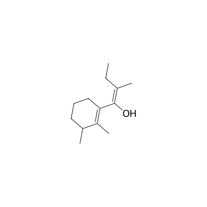 CCC(C)=C(O)C1=C(C)C(C)CCC1